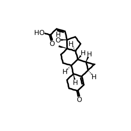 C[C@]12CC[C@H]3[C@@H]([C@@H]4C[C@H]4C4=CC(=O)CC[C@@H]43)[C@@H]1CC[C@@]2(O)/C=C\C(=O)O